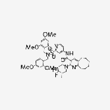 COc1ccc(CN(Cc2ccc(OC)cc2OC)S(=O)(=O)c2cc(NC(=O)c3cc4c(nc3N3CCC(F)(F)C(C)C3)CCCCCC4)ccn2)c(OC)c1